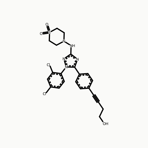 O=S1(=O)CCN(Nc2nc(-c3ccc(C#CCCO)cc3)n(-c3ccc(Cl)cc3Cl)n2)CC1